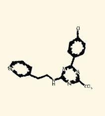 Clc1ccc(-c2nc(NCCc3cccnc3)nc(C(Cl)(Cl)Cl)n2)cc1